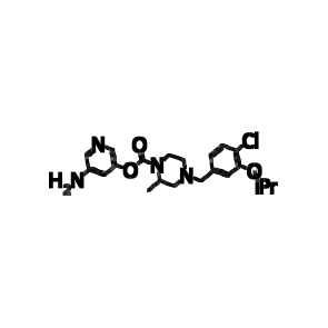 CC(C)Oc1cc(CN2CCN(C(=O)Oc3cncc(N)c3)C(C)C2)ccc1Cl